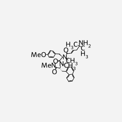 CNC(=O)[C@@H](Cc1cccc2ccccc12)N(C)C(=O)[C@@H](Cc1ccc(OC)cc1)N(C)C(=O)C=CCC(C)(C)N